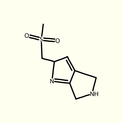 CS(=O)(=O)CC1C=C2CNCC2=N1